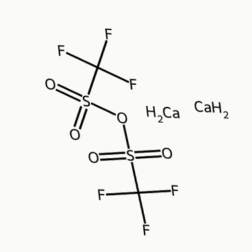 O=S(=O)(OS(=O)(=O)C(F)(F)F)C(F)(F)F.[CaH2].[CaH2]